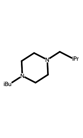 CCC(C)N1CCN(CC(C)C)CC1